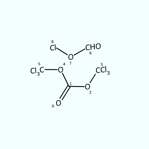 O=C(OC(Cl)(Cl)Cl)OC(Cl)(Cl)Cl.O=COCl